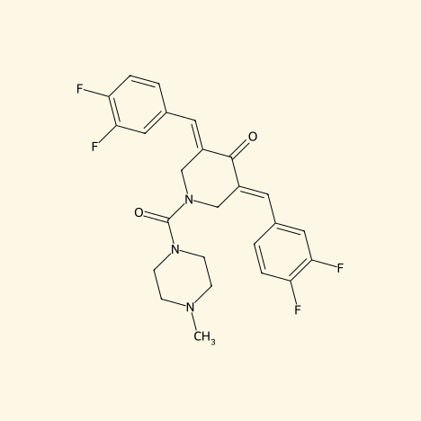 CN1CCN(C(=O)N2C/C(=C\c3ccc(F)c(F)c3)C(=O)/C(=C/c3ccc(F)c(F)c3)C2)CC1